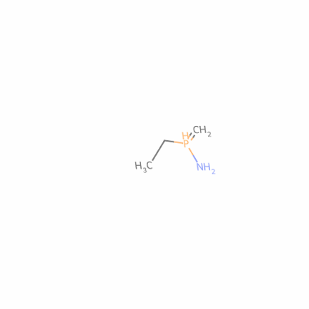 C=[PH](N)CC